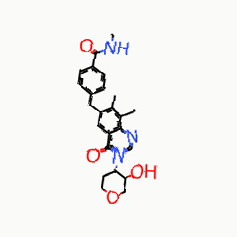 CNC(=O)c1ccc(Cc2cc3c(=O)n([C@H]4CCOC[C@@H]4O)cnc3c(C)c2C)cc1